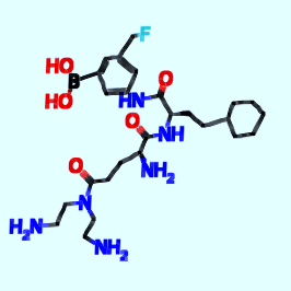 NCCN(CCN)C(=O)CC[C@H](N)C(=O)N[C@H](CCC1CCCCC1)C(=O)Nc1cc(CF)cc(B(O)O)c1